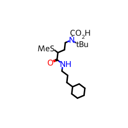 CSC(CCN(C(=O)O)C(C)(C)C)C(=O)NCCCC1CCCCC1